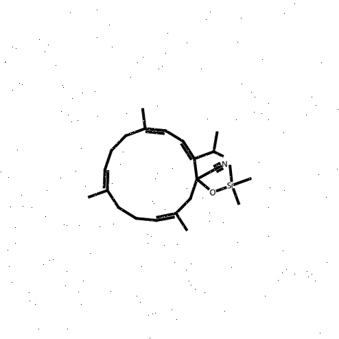 CC1=CC=C(C(C)C)C(C#N)(O[Si](C)(C)C)CC(C)=CCCC(C)=CCC1